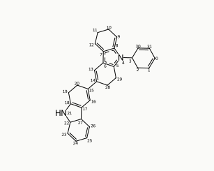 C1=CCC(n2c3c(c4c2=CCCC=4)C=C(C2=CC4=C(CC2)NC2C=CC=CC42)CC3)C=C1